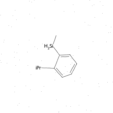 C[SiH2]c1ccccc1C(C)C